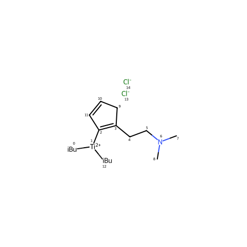 CC[CH](C)[Ti+2]([C]1=C(CCN(C)C)CC=C1)[CH](C)CC.[Cl-].[Cl-]